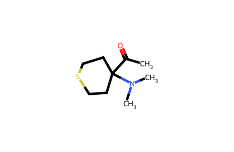 CC(=O)C1(N(C)C)CCSCC1